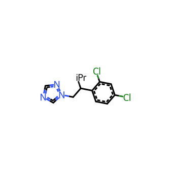 CC(C)C(Cn1cncn1)c1ccc(Cl)cc1Cl